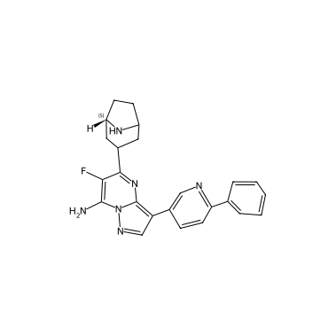 Nc1c(F)c(C2CC3CC[C@@H](C2)N3)nc2c(-c3ccc(-c4ccccc4)nc3)cnn12